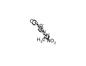 Cn1c([N+](=O)[O-])cnc1C=NN1CC[N+]([O-])(CCN2CCOCC2)C1